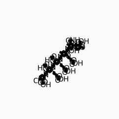 COc1ccc2c(nc3c(C(N)=O)c(C)c(N=Nc4cc(C)c(N=Nc5cc(NC(C)=O)c(N=Nc6cc(NC(C)=O)c(N=Nc7ccc(Cl)c(S(=O)(=O)O)c7)cc6SCCCS(=O)(=O)O)cc5SCCCS(=O)(=O)O)cc4OCCCS(=O)(=O)O)c(O)n32)c1S(=O)(=O)O